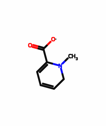 CN1CC=CC=C1C([O])=O